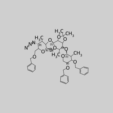 CC1C(OCc2ccccc2)[C@H](OCc2ccccc2)CO[C@H]1O[C@H]1C(C)O[C@@H](OC2C(C)[C@@H](N=[N+]=[N-])C(COCc3ccccc3)O[C@@H]2Br)C2OC(C)(C)OC21